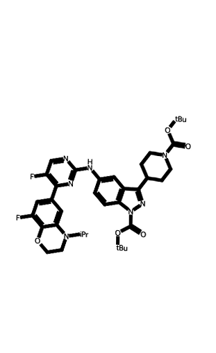 CC(C)N1CCOc2c(F)cc(-c3nc(Nc4ccc5c(c4)c(C4CCN(C(=O)OC(C)(C)C)CC4)nn5C(=O)OC(C)(C)C)ncc3F)cc21